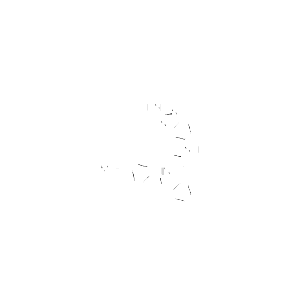 COc1ccc(C(=O)NC(c2ccccc2)C(O)C(=O)Nc2ccc3nc(N)[nH]c3c2)cc1C